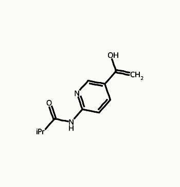 C=C(O)c1ccc(NC(=O)C(C)C)nc1